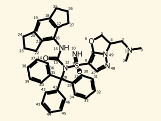 CN(C)CC1COc2c(S(=N)(=O)N(C(=O)Nc3c4c(cc5c3CCC5)CCC4)C(c3ccccc3)(c3ccccc3)c3ccccc3)cnn21